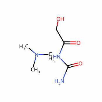 CN(C)C.NC(=O)NC(=O)CO